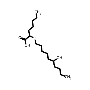 CCCCCC(OCCCCCC(O)CCCC)C(=O)O